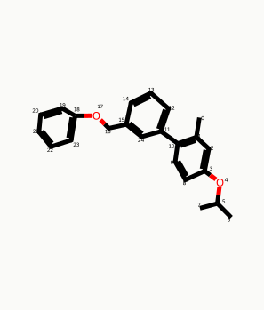 Cc1cc(OC(C)C)ccc1-c1cccc(COc2[c]cccc2)c1